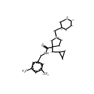 O=C(NCc1cc(C(F)(F)F)cc(C(F)(F)F)c1)C1(CC2CC2)CCN(CC2CCCOC2)C1